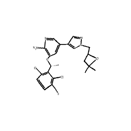 C[C@@H](Oc1cc(-c2cnn(CC3CC(C)(C)O3)c2)cnc1N)c1c(Cl)ccc(F)c1Cl